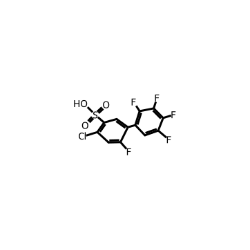 O=S(=O)(O)c1cc(-c2cc(F)c(F)c(F)c2F)c(F)cc1Cl